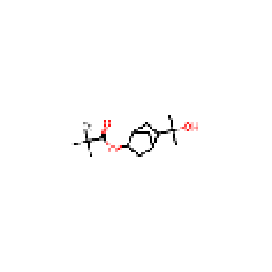 CCC(C)(C)C(=O)OC1CC2CC1CC2C(C)(C)O